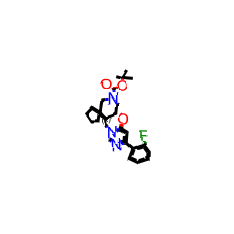 CC(C)(C)OC(=O)N1CC[C@@H](Cn2cnc(-c3ccccc3F)cc2=O)C2(CCCC2)C1